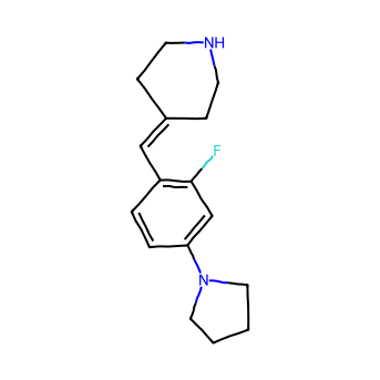 Fc1cc(N2CCCC2)ccc1C=C1CCNCC1